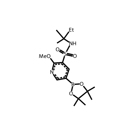 CCC(C)(C)NS(=O)(=O)c1cc(B2OC(C)(C)C(C)(C)O2)cnc1OC